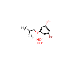 [B+2]c1cc(Br)cc(OCC(C)C)c1.[OH-].[OH-]